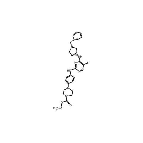 CCOC(=O)N1CCN(c2ccc(Nc3ncc(F)c(N[C@H]4CCN(Cc5ccccc5)C4)n3)cc2)CC1